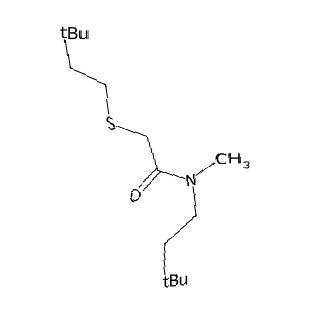 CN(CCC(C)(C)C)C(=O)CSCCC(C)(C)C